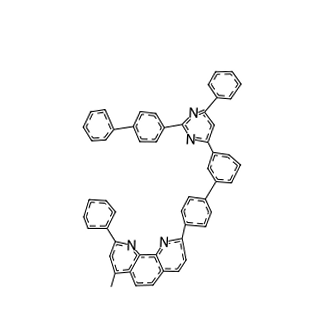 Cc1cc(-c2ccccc2)nc2c1ccc1ccc(-c3ccc(-c4cccc(-c5cc(-c6ccccc6)nc(-c6ccc(-c7ccccc7)cc6)n5)c4)cc3)nc12